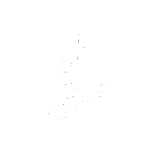 COc1cc2c(cc1Nc1ncc3cnn(CC4CC(N)C4)c3n1)CN(C)CC2.O=C(O)C(F)(F)F